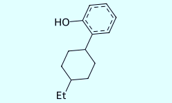 CCC1CCC(c2ccccc2O)CC1